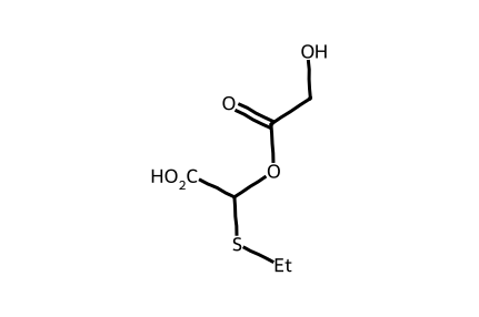 CCSC(OC(=O)CO)C(=O)O